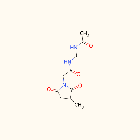 CC(=O)NCNC(=O)CN1C(=O)CC(C)C1=O